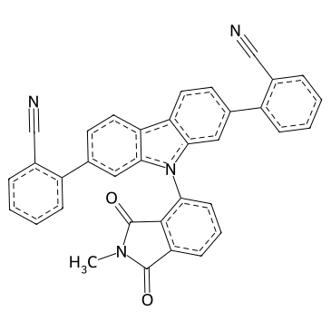 CN1C(=O)c2cccc(-n3c4cc(-c5ccccc5C#N)ccc4c4ccc(-c5ccccc5C#N)cc43)c2C1=O